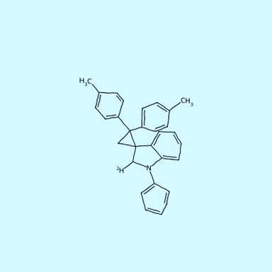 [2H]C1N(c2ccccc2)c2ccccc2C12CC2(c1ccc(C)cc1)c1ccc(C)cc1